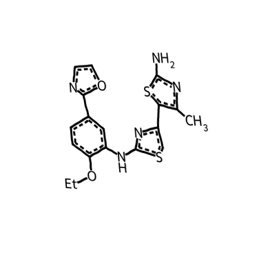 CCOc1ccc(-c2ncco2)cc1Nc1nc(-c2sc(N)nc2C)cs1